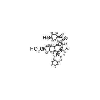 C[C@@H]1Cc2ccccc2CN1C(=O)c1cc2c(cc1-c1cc(C(=O)N(C)c3ccc(O)cc3)c3n1CCCC3)CN(C(=O)O)C2